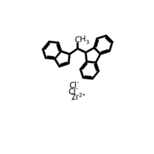 CC(C1C=Cc2ccccc21)C1c2ccccc2-c2ccccc21.[Cl-].[Cl-].[Zr+2]